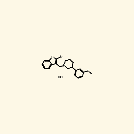 COc1cccc(C2CCCN(Cc3c(Br)oc4ccccc34)C2)c1.Cl